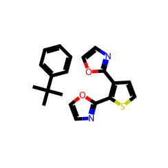 CC(C)(C)c1ccccc1.c1coc(-c2ccsc2-c2ncco2)n1